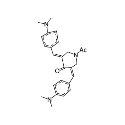 CC(=O)N1CC(=Cc2ccc(N(C)C)cc2)C(=O)C(=Cc2ccc(N(C)C)cc2)C1